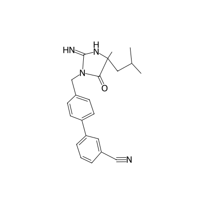 CC(C)CC1(C)NC(=N)N(Cc2ccc(-c3cccc(C#N)c3)cc2)C1=O